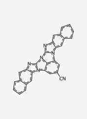 N#Cc1cc2c3c(c1)n1c4cc5ccccc5cc4nc1n3c1nc3cc4ccccc4cc3n21